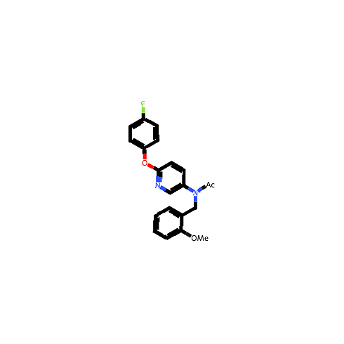 COc1ccccc1CN(C(C)=O)c1ccc(Oc2ccc(F)cc2)nc1